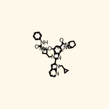 COc1cc(C(=O)N2CC3CCC2C3N)cc2nc(-c3cc4cccnc4n3CC3CC3)n(CC3CN(C(=O)Nc4ccccc4)C3)c12